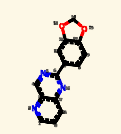 c1cnc2cnc(-c3ccc4c(c3)OCO4)nc2c1